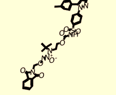 Cc1ccc(-c2cc(C)nn2-c2ccc(S(=O)(=O)NC(=O)OCCN(/[N+]([O-])=N/OCN3C(=O)c4ccccc4C3=O)C(C)(C)C)cc2)cc1